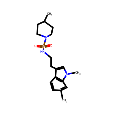 Cc1ccc2c(CCNS(=O)(=O)N3CCC(C)CC3)cn(C)c2c1